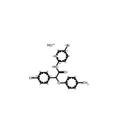 Cc1ccc(OC(C(=O)Nc2ccc(Br)cn2)c2ccc(Cl)cc2)cc1.Cl